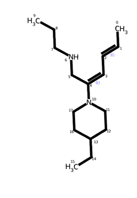 C/C=C/C=C(\CNCCC)N1CCC(CC)CC1